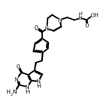 Nc1nc(=O)c2c(CCc3ccc(C(=O)N4CCN(CCNC(=O)O)CC4)cc3)c[nH]c2[nH]1